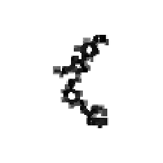 Cc1ccc(-c2nc(CO[C@@H]3CCC[C@H](CSC(C)C(=O)O)C3)c(C)o2)cc1